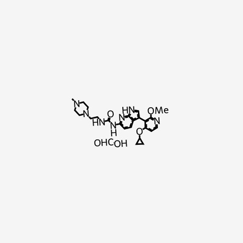 COc1nccc(OC2CC2)c1-c1c[nH]c2nc(NC(=O)NCCN3CCN(C)CC3)ccc12.O=CO